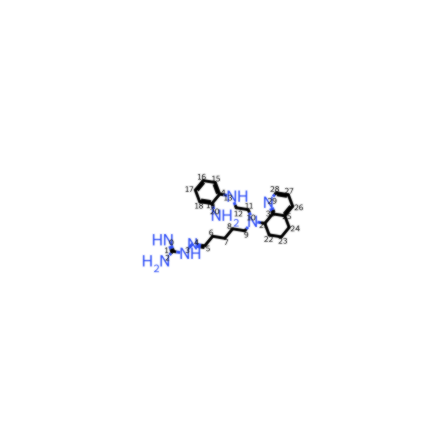 N=C(N)N/N=C/CCCCN(CCNc1ccccc1N)C1CCCc2cccnc21